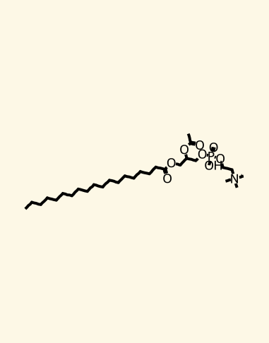 CCCCCCCCCCCCCCCCCCC(=O)OCC(COP(=O)(O)OCC[N+](C)(C)C)OC(C)=O